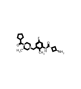 Cc1c(CN2CCN(C(=O)C3CCCC3)[C@@H](C)C2)cc(F)cc1NC(=O)[C@H]1C[C@H](N)C1